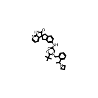 CC(c1ccccc1CN(CC(=O)Nc1ccc2c(c1)CC1(C2)C(=O)Nc2ncccc21)C(=O)C(C)(C)C)N1CCC1